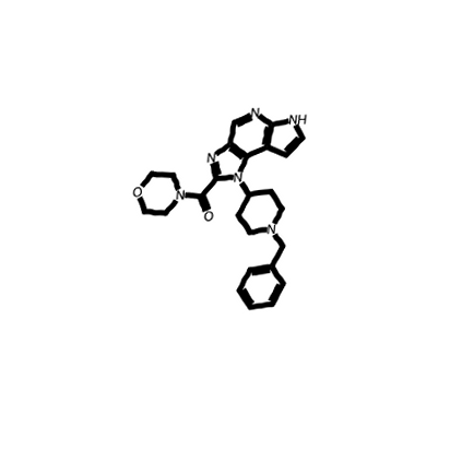 O=C(c1nc2cnc3[nH]ccc3c2n1C1CCN(Cc2ccccc2)CC1)N1CCOCC1